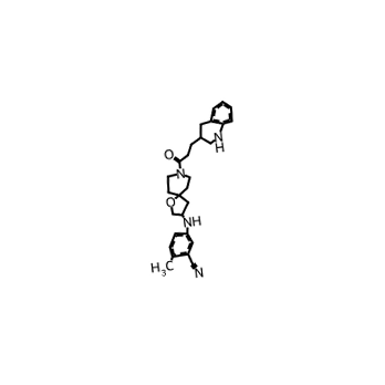 Cc1ccc(NC2COC3(CCN(C(=O)CCC4CNc5ccccc5C4)CC3)C2)cc1C#N